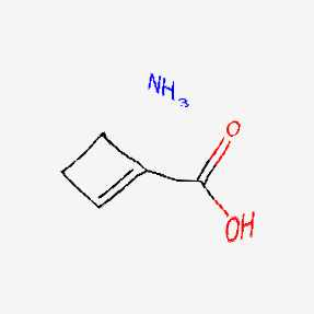 N.O=C(O)C1=CCC1